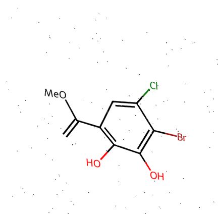 C=C(OC)c1cc(Cl)c(Br)c(O)c1O